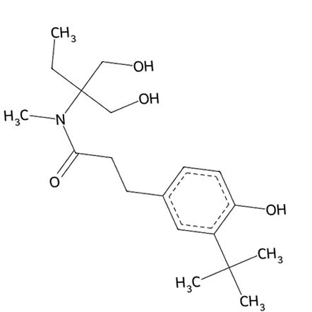 CCC(CO)(CO)N(C)C(=O)CCc1ccc(O)c(C(C)(C)C)c1